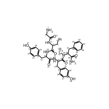 CC(C)CC(NC(=O)CN)C(=O)NC(Cc1ccc(O)cc1)C(=O)NC(Cc1ccc(O)cc1)C(=O)N(C)C(Cc1ccccc1)C(N)=O